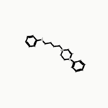 [c]1cccc(OCCCCN2CCN(c3ccccc3)CC2)c1